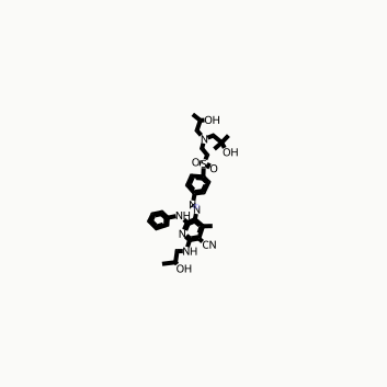 Cc1c(C#N)c(NCC(C)O)nc(Nc2ccccc2)c1/N=N/c1ccc(S(=O)(=O)CCN(CC(C)O)CC(C)(C)O)cc1